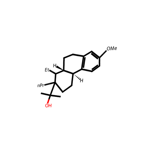 CCCC1(C(C)(C)O)CC[C@@H]2c3ccc(OC)cc3CC[C@H]2C1CC